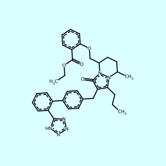 CCCc1c(Cc2ccc(-c3ccccc3-c3nnn[nH]3)cc2)c(=O)n2n1C(C)CCC2COc1ccccc1C(=O)OCC